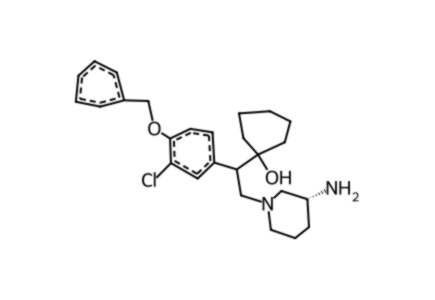 N[C@@H]1CCCN(CC(c2ccc(OCc3ccccc3)c(Cl)c2)C2(O)CCCCC2)C1